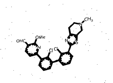 COc1nc(-c2cccc(-c3cccc(-c4nc5c(s4)CN(C)CC5)c3Cl)c2Cl)ccc1C=O